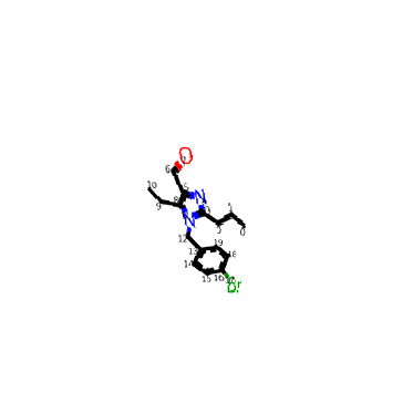 CCCc1nc(C=O)c(CC)n1Cc1ccc(Br)cc1